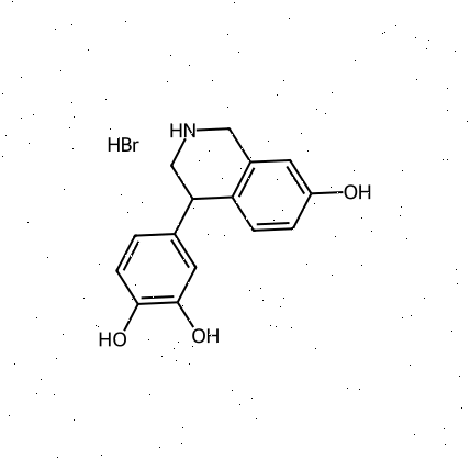 Br.Oc1ccc2c(c1)CNCC2c1ccc(O)c(O)c1